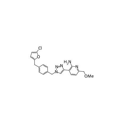 COCc1ccc(-c2cn(Cc3ccc(Cc4ccc(Cl)o4)cc3)nn2)c(N)n1